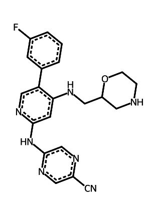 N#Cc1cnc(Nc2cc(NCC3CNCCO3)c(-c3cccc(F)c3)cn2)cn1